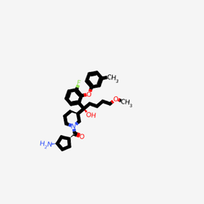 COCCCC[C@@](O)(c1cccc(F)c1Oc1cccc(C)c1)[C@@H]1CCCN(C(=O)[C@@H]2CC[C@H](N)C2)C1